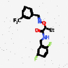 CCC(ON=Cc1cccc(C(F)(F)F)c1)C(=O)NCc1cc(F)ccc1F